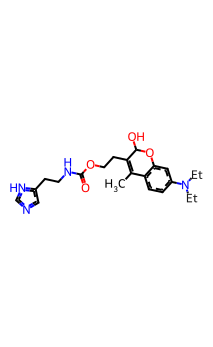 CCN(CC)c1ccc2c(c1)OC(O)C(CCOC(=O)NCCc1cnc[nH]1)=C2C